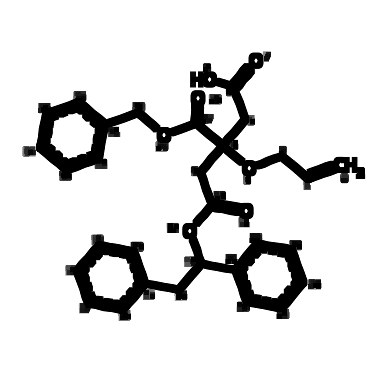 C=CCOC(CC(=O)O)(CC(=O)OC(Cc1ccccc1)c1ccccc1)C(=O)OCc1ccccc1